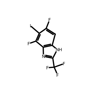 Fc1cc2[nH]c(C(F)(F)F)nc2c(F)c1I